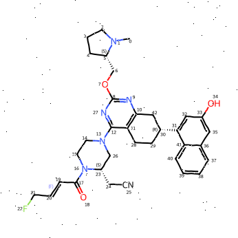 CN1CCC[C@H]1COc1nc2c(c(N3CCN(C(=O)/C=C/CF)[C@@H](CC#N)C3)n1)CC[C@@H](c1cc(O)cc3ccccc13)C2